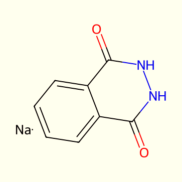 O=c1[nH][nH]c(=O)c2ccccc12.[Na]